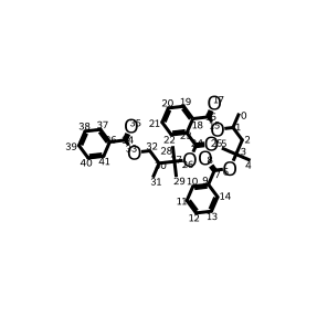 CC(CC(C)(C)OC(=O)c1ccccc1)OC(=O)c1ccccc1C(=O)OC(C)(C)C(C)COC(=O)c1ccccc1